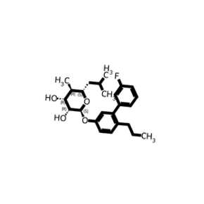 CCCc1ccc(O[C@@H]2O[C@@H](CC(C)C)[C@H](C)[C@@H](O)[C@H]2O)cc1-c1cccc(F)c1